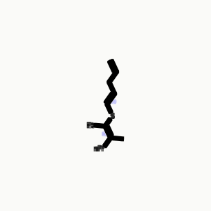 C=CC/C=C/S/C(CC)=C(\C)CCC